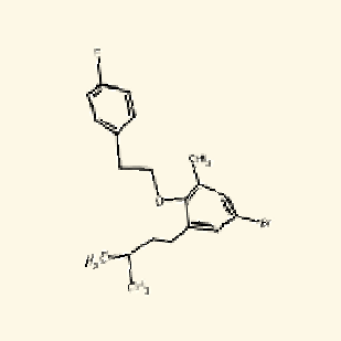 Cc1cc(Br)cc(CCC(C)C)c1OCCc1ccc(F)cc1